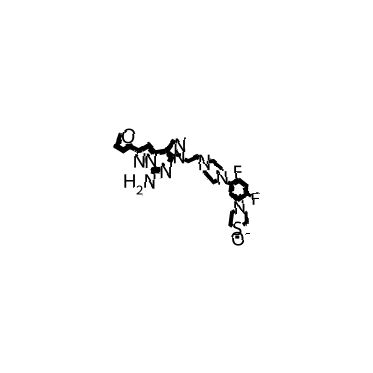 Nc1nc2c(cnn2CCN2CCN(c3cc(N4CC[S+]([O-])CC4)c(F)cc3F)CC2)c2cc(-c3ccco3)nn12